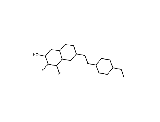 CCC1CCC(CCC2CCC3CC(O)C(F)C(F)C3C2)CC1